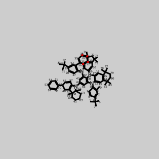 Cc1cc(C(C)(C)C)ccc1N1c2cc3c(cc2B2c4cc5c(cc4N(c4ccc(C(C)(C)C)cc4-c4ccccc4)c4cc(N6C7=C(CC(c8ccccc8)C=C7)C7(C)CCCCC67C)cc1c42)C(C)(C)CC5(C)C)C(C)(C)CCC3(C)C